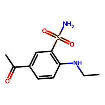 CCNc1ccc(C(C)=O)cc1S(N)(=O)=O